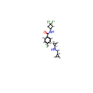 O=C(NC1CC(F)(F)C1)c1ccc(F)c([C@@H]2C[C@H]2NCC2CC2)c1